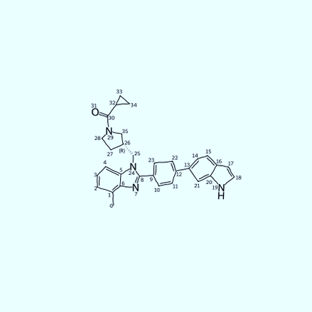 Cc1cccc2c1nc(-c1ccc(-c3ccc4cc[nH]c4c3)cc1)n2C[C@@H]1CCN(C(=O)C2CC2)C1